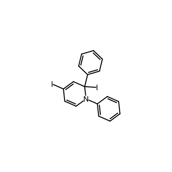 IC1=CC(I)(c2ccccc2)N(c2ccccc2)C=C1